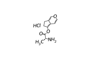 C[C@H](N)C(=O)OC1=C2C=COC=C2CC1.Cl